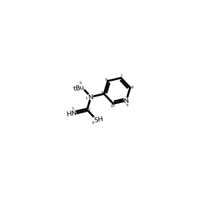 CC(C)(C)N(C(=N)S)c1cccnc1